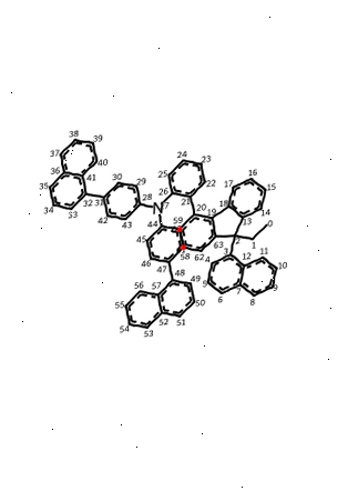 CCC1(c2cccc3ccccc23)c2ccccc2-c2c(-c3ccccc3N(c3ccc(-c4cccc5ccccc45)cc3)c3ccc(-c4cccc5ccccc45)cc3)cccc21